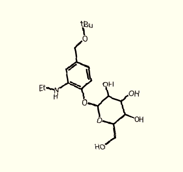 CCNc1cc(COC(C)(C)C)ccc1OC1OC(CO)C(O)C(O)C1O